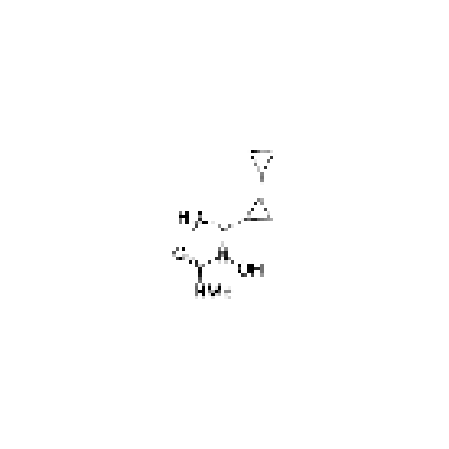 CNC(=O)N(O)C(C)C1CC1C1CC1